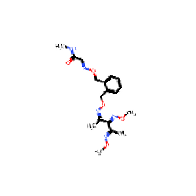 CNC(=O)C=NOCc1ccccc1CON=C(C)C(=NOC)C(C)=NOC